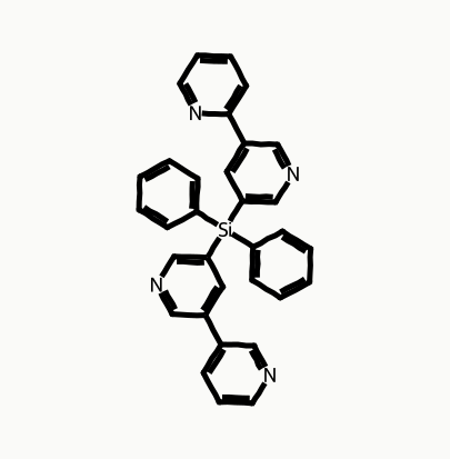 c1ccc([Si](c2ccccc2)(c2cncc(-c3cccnc3)c2)c2cncc(-c3ccccn3)c2)cc1